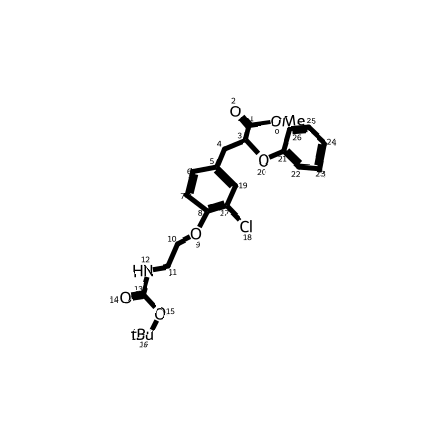 COC(=O)C(Cc1ccc(OCCNC(=O)OC(C)(C)C)c(Cl)c1)Oc1ccccc1